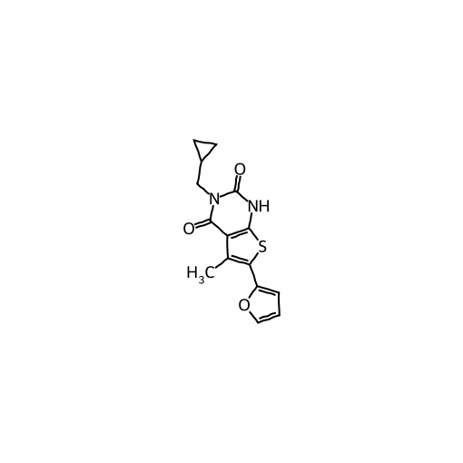 Cc1c(-c2ccco2)sc2[nH]c(=O)n(CC3CC3)c(=O)c12